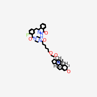 C=N[C@]12CC[C@]3(C)[C@@H](C(=O)COCCCCCC(=O)N4CCN(C(=O)c5cc(Cc6n[nH]c(=O)c7ccccc67)ccc5F)CC4)CC[C@H]3[C@@H]1CCC1=CC(=O)CC[C@@]12C